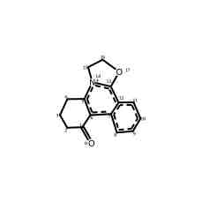 O=C1CCCc2c1c1ccccc1c1[n+]2CCO1